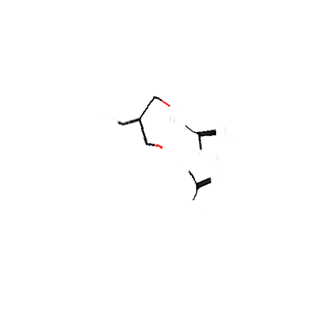 C=C(C)C(=O)O.C=C(C)C(=O)O.CCCC(CO)CO